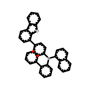 c1ccc(-c2ccccc2N(c2ccc(-c3cccc4c3oc3ccccc34)cc2)c2cccc3ccccc23)cc1